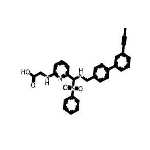 CC#Cc1cccc(-c2ccc(CNC(c3cccc(NCC(=O)O)n3)S(=O)(=O)c3ccccc3)cc2)c1